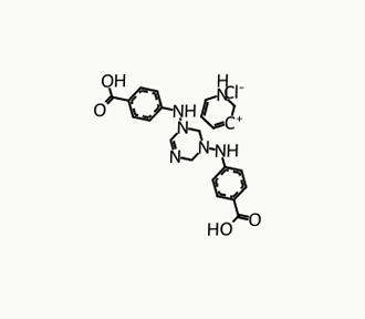 O=C(O)c1ccc(NN2C=NCN(Nc3ccc(C(=O)O)cc3)C2)cc1.[C+]1=CC=CNC1.[Cl-]